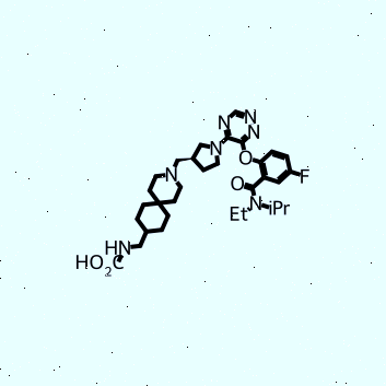 CCN(C(=O)c1cc(F)ccc1Oc1nncnc1N1CC[C@@H](CN2CCC3(CCC(CNC(=O)O)CC3)CC2)C1)C(C)C